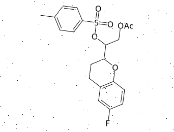 CC(=O)OCC(OS(=O)(=O)c1ccc(C)cc1)C1CCc2cc(F)ccc2O1